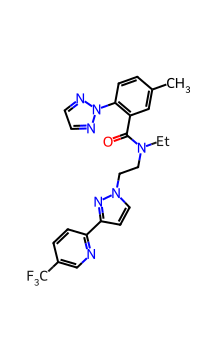 CCN(CCn1ccc(-c2ccc(C(F)(F)F)cn2)n1)C(=O)c1cc(C)ccc1-n1nccn1